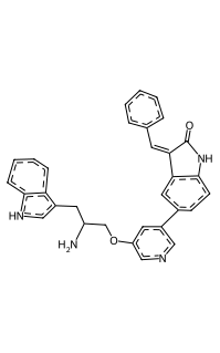 NC(COc1cncc(-c2ccc3c(c2)C(=Cc2ccccc2)C(=O)N3)c1)Cc1c[nH]c2ccccc12